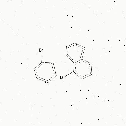 Brc1cccc2ccccc12.Brc1ccccc1